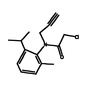 C#CCN(C(=O)CCl)c1c(C)cccc1C(C)C